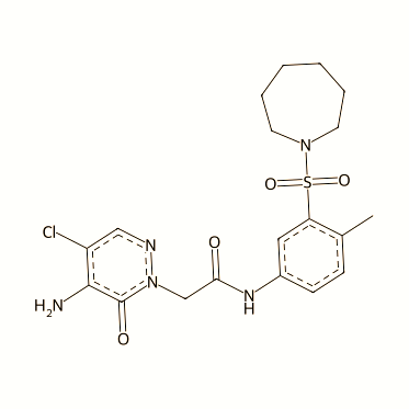 Cc1ccc(NC(=O)Cn2ncc(Cl)c(N)c2=O)cc1S(=O)(=O)N1CCCCCC1